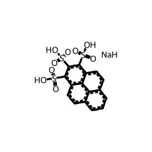 O=S(=O)(O)c1c(S(=O)(=O)O)c2ccc3cccc4ccc(c1S(=O)(=O)O)c2c34.[NaH]